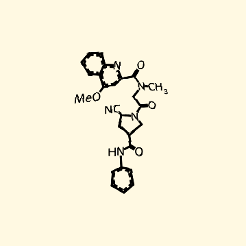 COc1cc(C(=O)N(C)CC(=O)N2CC(C(=O)Nc3ccccc3)CC2C#N)nc2ccccc12